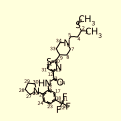 CSC(C)CCN1CCC(c2nc(C(=O)Nc3cc(C(F)(F)F)ccc3N3CCCC3)cs2)CC1